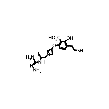 N/N=C(/N)NC(I)CN1CC(Oc2ccc(CCS)c(O)c2C(=O)O)C1